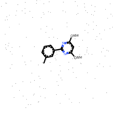 COc1cc(OC)nc(-c2cccc(C)c2)n1